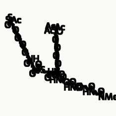 CNC(=O)CCNC(=O)CCc1ccc(NC(=O)COCC(=O)NC(CNC(=O)CCSC2CC(=O)N(CCC(=O)NCCOCCOCCOCCOCCC(=O)C3(C(C)=O)SS3)C2=O)C(=O)NCCOCCOCCOCCOCCC(=O)C(C(C)=O)(C(C)=O)C(C)=O)cc1